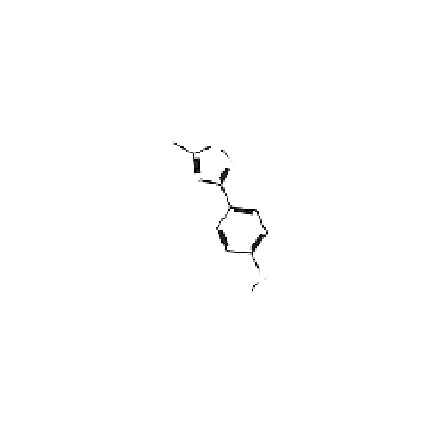 Cc1nc(-c2ccc(NC(=O)O)cc2)no1